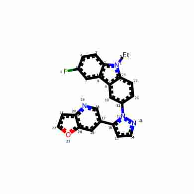 CCn1c2ccc(F)cc2c2cc(-n3nccc3-c3cnc4ccoc4c3)ccc21